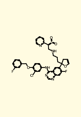 O=S(=O)=C(CNCCCC1(c2cc3c(Nc4ccc(OCc5cccc(F)c5)c(Cl)c4)ncnc3cc2F)CC=CO1)c1ccccn1